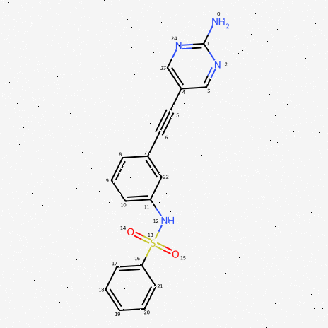 Nc1ncc(C#Cc2cccc(NS(=O)(=O)c3ccccc3)c2)cn1